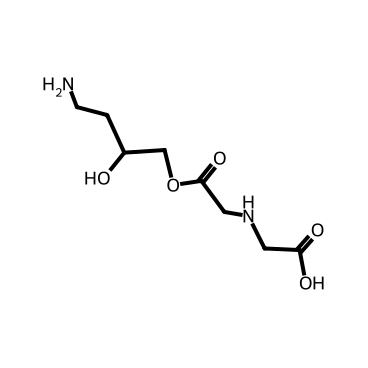 NCCC(O)COC(=O)CNCC(=O)O